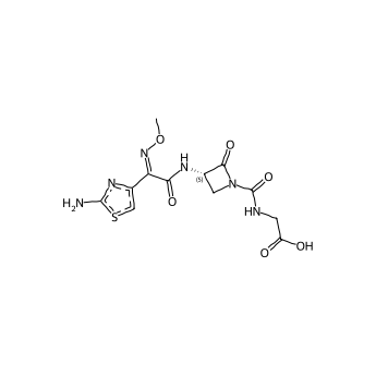 CON=C(C(=O)N[C@H]1CN(C(=O)NCC(=O)O)C1=O)c1csc(N)n1